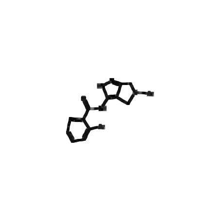 CC(=O)c1ccccc1C(=O)Nc1[nH]nc2c1CN(C(C)=O)C2